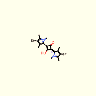 CCC1=C(C)/C(=C2\C(=O)C(c3c(C)c(CC)c(C)n3C)=C2O)[N+](C)=C1C